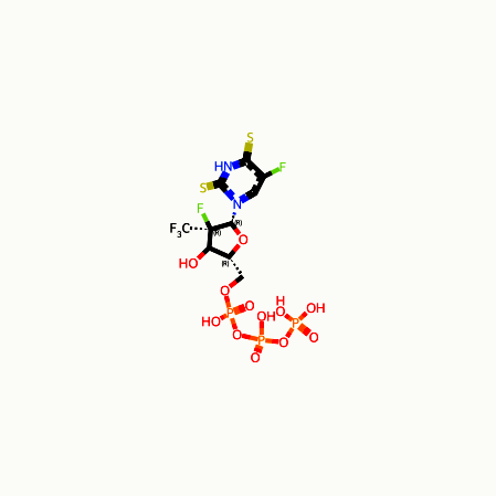 O=P(O)(O)OP(=O)(O)OP(=O)(O)OC[C@H]1O[C@@H](n2cc(F)c(=S)[nH]c2=S)[C@@](F)(C(F)(F)F)C1O